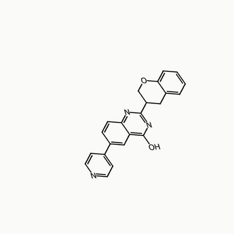 Oc1nc(C2COc3ccccc3C2)nc2ccc(-c3ccncc3)cc12